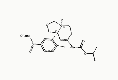 CC(C)OC(=O)NC1=N[C@@]2(c3cc([N+](=O)N=O)ccc3F)COC[C@H]2CS1